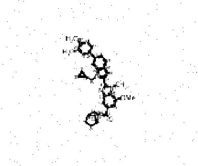 COc1cc(C(=O)N2CC3CCC2[C@@H]3N)cc2nc(-c3cc4ccc(-c5cnc(C)c(C)c5)cc4n3CC3CC3)n(C)c12